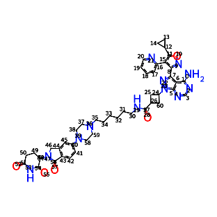 Nc1ncnc2c1c(-c1noc(C3CC3)c1-c1ccccn1)nn2C1CC(C(=O)NCCCCCCN2CCN(c3ccc4c(c3)CN([C@@H]3CCC(=O)NC3=O)C4=O)CC2)C1